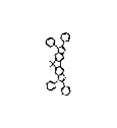 CC1(C)c2cc3c(cc2-c2cc4nc(C5C=CC=CC5)n(-c5ccccc5)c4cc21)nc(C1=CCCC=C1)n3-c1ccccc1